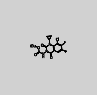 CC(C)(C)OC(=O)Nn1c(=O)c2cc(F)c(F)c(Cl)c2n(C2CC2)c1=O